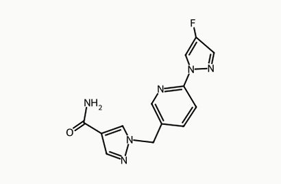 NC(=O)c1cnn(Cc2ccc(-n3cc(F)cn3)nc2)c1